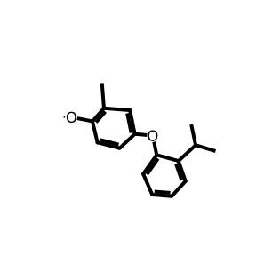 Cc1cc(Oc2ccccc2C(C)C)ccc1[O]